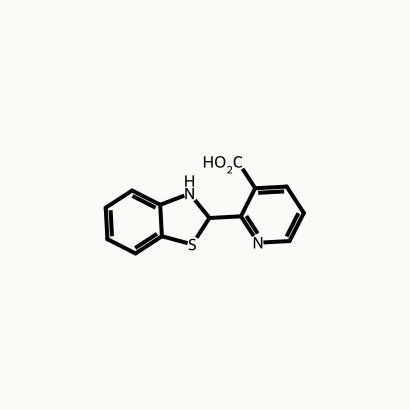 O=C(O)c1cccnc1C1Nc2ccccc2S1